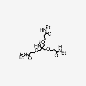 CCNC(=O)CCOCC(COCCC(=O)NCC)(COCCC(=O)NCC)NI